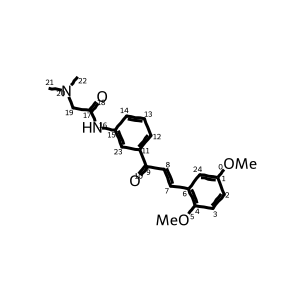 COc1ccc(OC)c(/C=C/C(=O)c2cccc(NC(=O)CN(C)C)c2)c1